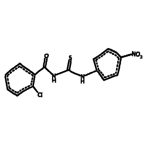 O=C(NC(=S)Nc1ccc([N+](=O)[O-])cc1)c1ccccc1Cl